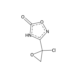 O=c1[nH]c(C2(Cl)CO2)no1